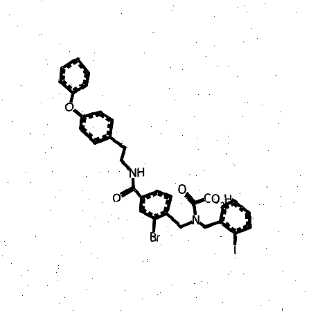 O=C(O)C(=O)N(Cc1ccc(C(=O)NCCc2ccc(Oc3ccccc3)cc2)cc1Br)Cc1ccccc1I